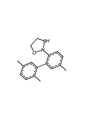 Cc1ccc(C)c(-c2cc(C)ccc2N2BCCO2)c1